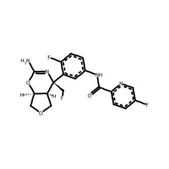 NC1=N[C@](CF)(c2cc(NC(=O)c3ccc(F)cn3)ccc2F)[C@H]2COC[C@H]2O1